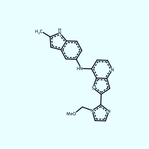 COCn1ccnc1-c1cc2nccc(Nc3ccc4[nH]c(C)cc4c3)c2s1